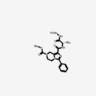 CC(=O)NNC(=O)[C@@H](NC(=O)c1nc(-c2ccccc2)n2c1CN(C(=O)OC(C)(C)C)CC2)C(C)(C)C